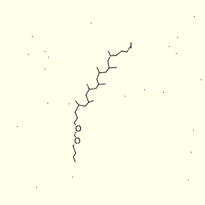 CCCCOCOCCCC(C)CC(C)CC(C)CC(C)CC(C)CC(C)CC(C)CCCI